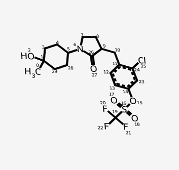 CC1(O)CCC(N2CCC(Cc3ccc(OS(=O)(=O)C(F)(F)F)cc3Cl)C2=O)CC1